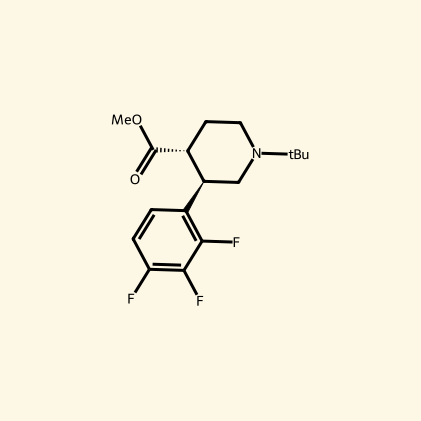 COC(=O)[C@@H]1CCN(C(C)(C)C)C[C@H]1c1ccc(F)c(F)c1F